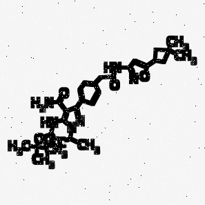 CC(C)n1nc(-c2ccc(CC(=O)Nc3cc(C4CC(C)(C)C4)on3)cc2)c(C(N)=O)c1NC(=O)OC(C)(C)C